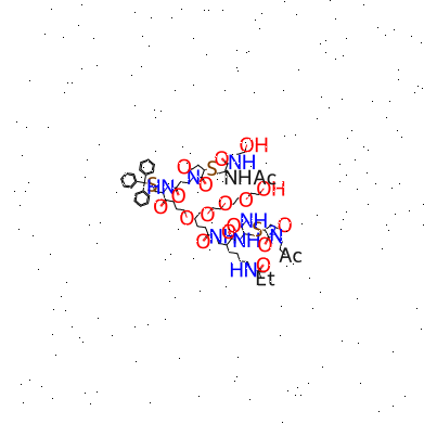 CCC(=O)NCCCCC(CNC(=O)CCC(COCCOCCOCCO)OCCCC(=O)C(CSC(c1ccccc1)(c1ccccc1)c1ccccc1)NC(=O)CCN1C(=O)CC(SCC(NC(C)=O)C(=O)NCCO)C1=O)C(=O)NC(CSC1CC(=O)N(CCC(C)=O)C1=O)C(N)=O